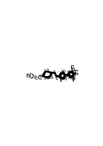 CCCCCCCCCCC1CCC(CCc2ccc(-c3cc(F)c(F)c(F)c3)cc2)CC1